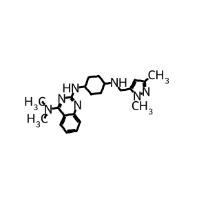 Cc1cc(CNC2CCC(Nc3nc(N(C)C)c4ccccc4n3)CC2)n(C)n1